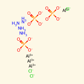 N.N.N.N.O=P([O-])([O-])[O-].O=P([O-])([O-])[O-].O=P([O-])([O-])[O-].[Al+3].[Al+3].[Al+3].[Al+3].[Cl-].[Cl-].[Cl-]